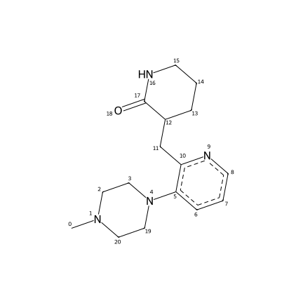 CN1CCN(c2cccnc2CC2CCCNC2=O)CC1